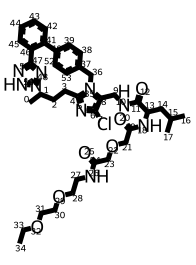 CCCCc1nc(Cl)c(CNC(=O)C(CC(C)C)NC(=O)COCC(=O)NCCOCCOCC)n1Cc1ccc(-c2ccccc2-c2nn[nH]n2)cc1